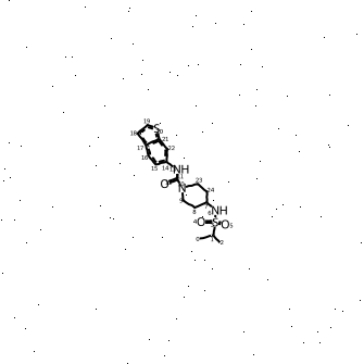 CC(C)S(=O)(=O)NC1CCN(C(=O)Nc2ccc3ccsc3c2)CC1